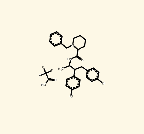 CC(NC(=O)C1CCCCN1Cc1ccccc1)C(Cc1ccc(Cl)cc1)c1ccc(Cl)cc1.O=C(O)C(F)(F)F